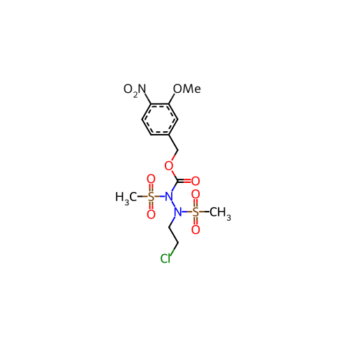 COc1cc(COC(=O)N(N(CCCl)S(C)(=O)=O)S(C)(=O)=O)ccc1[N+](=O)[O-]